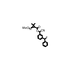 CON=C1C(C(=O)OC(C#N)c2cccc(C(F)c3ccccc3)c2)C1(C)C